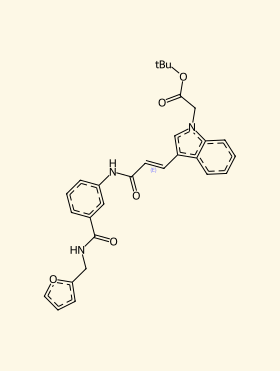 CC(C)(C)OC(=O)Cn1cc(/C=C/C(=O)Nc2cccc(C(=O)NCc3ccco3)c2)c2ccccc21